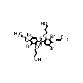 C=CCOc1c(Br)cc(S(=O)(=O)c2cc(Br)c(OCC=C)c(Br)c2OCCCO)c(OCCCO)c1Br